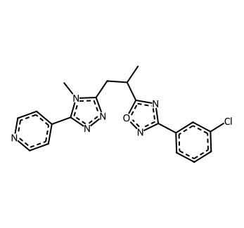 CC(Cc1nnc(-c2ccncc2)n1C)c1nc(-c2cccc(Cl)c2)no1